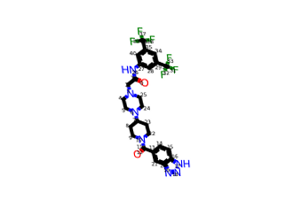 O=C(CN1CCN(C2CCN(C(=O)c3ccc4[nH]nnc4c3)CC2)CC1)Nc1cc(C(F)(F)F)cc(C(F)(F)F)c1